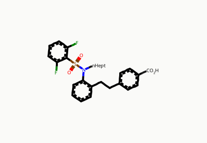 CCCCCCCN(c1ccccc1CCc1ccc(C(=O)O)cc1)S(=O)(=O)c1c(F)cccc1F